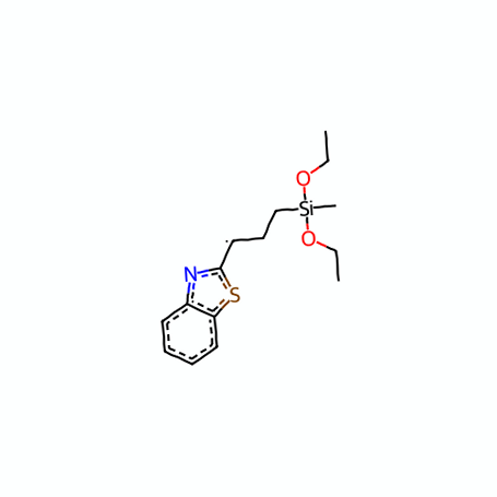 CCO[Si](C)(CC[CH]c1nc2ccccc2s1)OCC